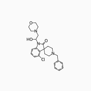 O=C1N(C(O)CN2CCOCC2)c2cccc(Cl)c2C12CCN(Cc1ccccc1)CC2